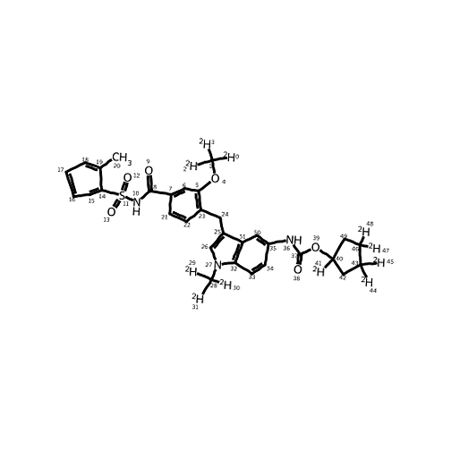 [2H]C([2H])([2H])Oc1cc(C(=O)NS(=O)(=O)c2ccccc2C)ccc1Cc1cn(C([2H])([2H])[2H])c2ccc(NC(=O)OC3([2H])CC([2H])([2H])C([2H])([2H])C3)cc12